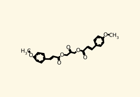 COc1ccc(/C=C/C(=O)OCC(=O)COC(=O)/C=C/c2ccc(OC)cc2)cc1